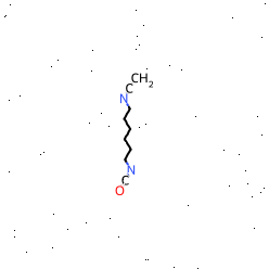 C=C=NCCCCCCN=C=O